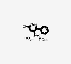 CCCCCCCCSN(C(=O)O)c1cc(Cl)nnc1-c1ccccc1